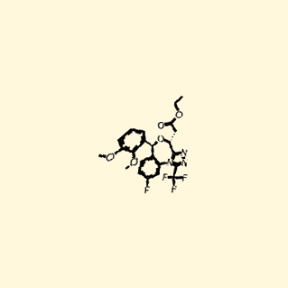 CCOC(=O)C[C@H]1O[C@H](c2cccc(OC)c2OC)c2ccc(F)cc2-n2c1nnc2C(F)(F)F